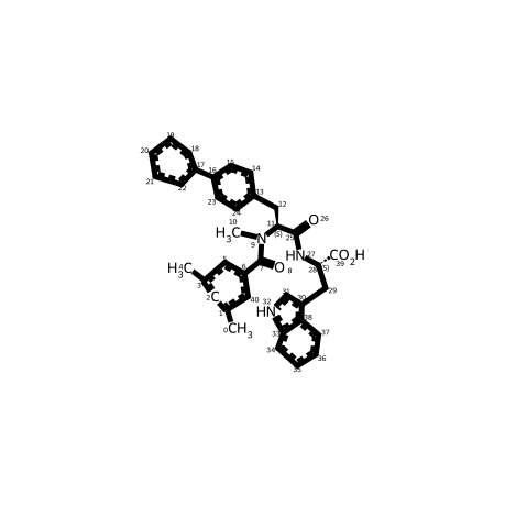 Cc1cc(C)cc(C(=O)N(C)[C@@H](Cc2ccc(-c3ccccc3)cc2)C(=O)N[C@@H](Cc2c[nH]c3ccccc23)C(=O)O)c1